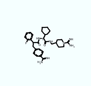 N=C(N)c1ccc(CC(C(=O)N[C@H](C(=O)NCC2CCN(C(=N)N)CC2)C2CCCCC2)c2ccccc2F)cc1